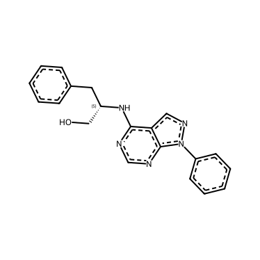 OC[C@H](Cc1ccccc1)Nc1ncnc2c1cnn2-c1ccccc1